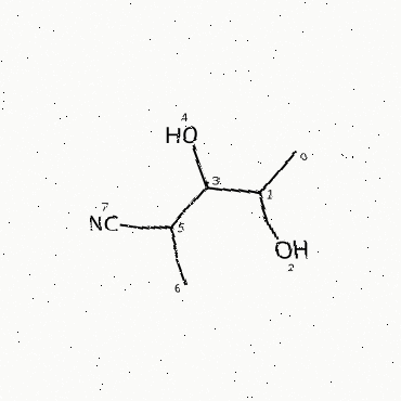 CC(O)[C](O)C(C)C#N